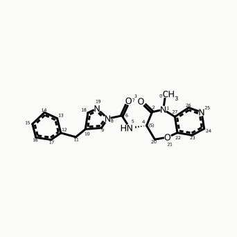 CN1C(=O)[C@@H](NC(=O)n2cc(Cc3ccccc3)cn2)COc2ccncc21